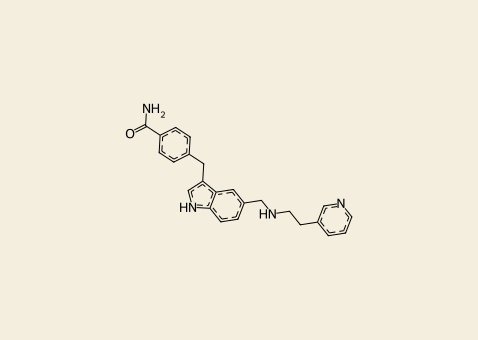 NC(=O)c1ccc(Cc2c[nH]c3ccc(CNCCc4cccnc4)cc23)cc1